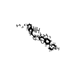 Cc1ccc2c(N)c(C(=O)N[C@H]3COc4cc(N5CCNCC5)ccc4[C@@H]3C)sc2n1